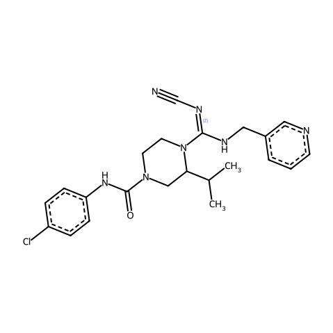 CC(C)C1CN(C(=O)Nc2ccc(Cl)cc2)CCN1/C(=N\C#N)NCc1cccnc1